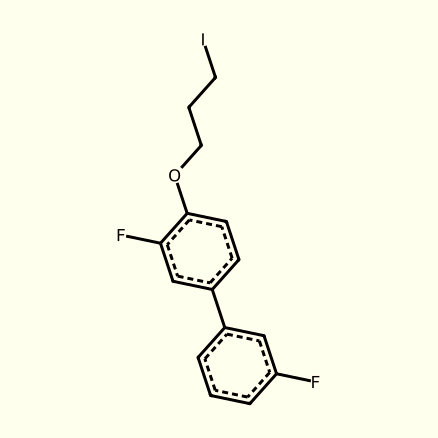 Fc1cccc(-c2ccc(OCCCI)c(F)c2)c1